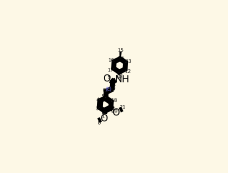 COc1ccc(/C=C/C(=O)N[C@H]2CC[C@H](C)CC2)cc1OC